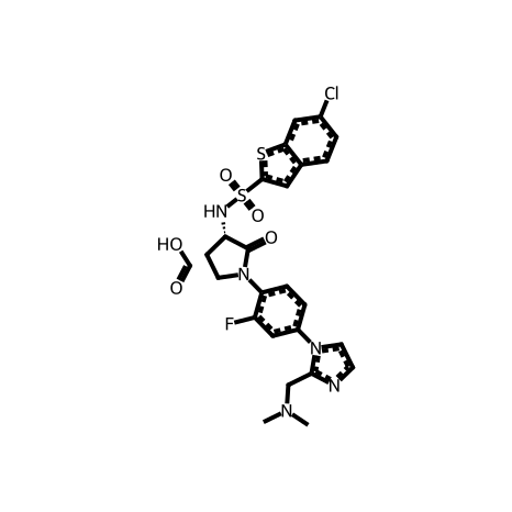 CN(C)Cc1nccn1-c1ccc(N2CC[C@H](NS(=O)(=O)c3cc4ccc(Cl)cc4s3)C2=O)c(F)c1.O=CO